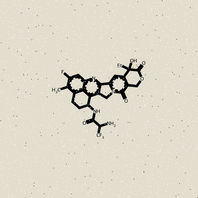 CCC1(O)C(=O)OCc2c1cc1n(c2=O)Cc2c-1nc1cc(F)c(C)c3c1c2C(NC(=O)C(N)C(F)(F)F)CC3